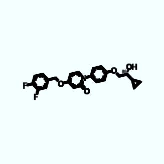 O=c1cc(OCc2ccc(F)c(F)c2)ccn1-c1ccc(OC[C@H](O)C2CC2)cc1